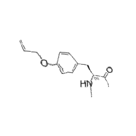 C=CCOc1ccc(C[C@H](NC)C(C)=O)cc1